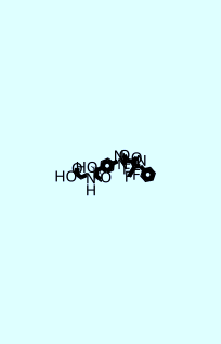 O=C(O)CCN[C@H]1COc2cc(-c3noc(-c4onc(-c5ccccc5)c4C(F)(F)F)n3)ccc2[C@H]1O